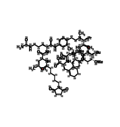 CC[C@H](C)[C@@H]([C@@H](CC(=O)N1CCC[C@H]1[C@H](OC)[C@@H](C)C(=O)N[C@@H](CC1=CCCCC1)C(=O)OC)OC)N(C)C(=O)[C@@H](NC(=O)[C@H](C(C)C)N(C)CCc1ccc(NC(=O)[C@H](CCCNC(N)=O)NC(=O)C(C=C(C)C)NC(=O)CCCCCN2C(=O)C=CC2=O)cc1)C(C)C